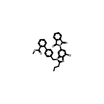 CCCc1nc2c(Cl)cc(N3C(=O)c4ccccc4C3=O)cc2n1Cc1ccc(-c2ccccc2C(=O)OC)cc1